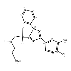 COCCN(C)CC(C)(C)c1nc(-c2ccc(Cl)c(O)c2)cn1-c1ccncc1